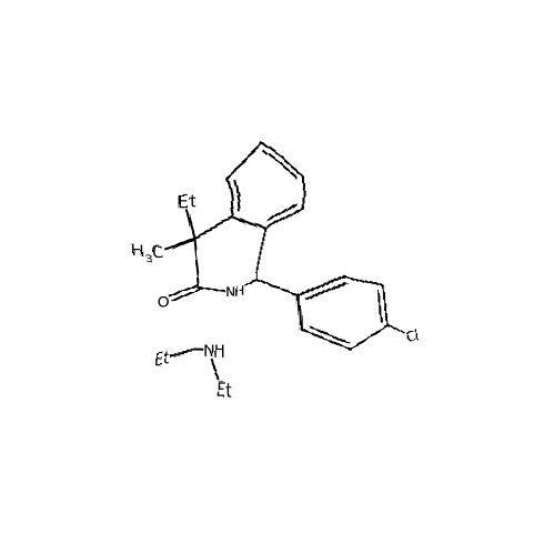 CCC1(C)C(=O)NC(c2ccc(Cl)cc2)c2ccccc21.CCNCC